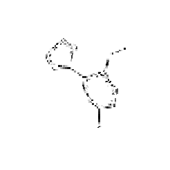 CCc1ccc(F)cc1-c1ccco1